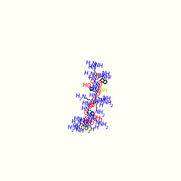 C[C@H](NC(=O)[C@@H](CCCCN)NC(=O)[C@H](CCCCN)NC(=O)[C@H](CCCNC(=N)N)NC(=O)[C@H](Cc1ccc(O)cc1)NC(=O)[C@H](CS)NC(=O)[C@H](Cc1ccc2ccccc2c1)NC(=O)[C@H](CCCNC(=N)N)NC(=O)[C@@H](N)CCCNC(=N)N)C(=O)N[C@@H](Cc1ccc(O)cc1)C(=O)N[C@@H](CCCNC(=N)N)C(=O)N[C@@H](CCCNC(N)=O)C(=O)N[C@@H](CS)C(=O)N[C@@H](CCCNC(=N)N)C(=O)O